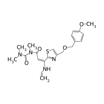 C=CN/C(=C/C(=O)N(C)C(=O)N(C)C)c1nc(COCc2ccc(OC)cc2)cs1